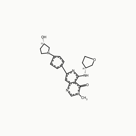 Cn1cnc2cc(-c3ccc(N4CC[C@H](O)C4)cc3)nc(N[C@@H]3CCOC3)c2c1=O